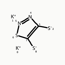 [K+].[K+].[S-]c1nnsc1[S-]